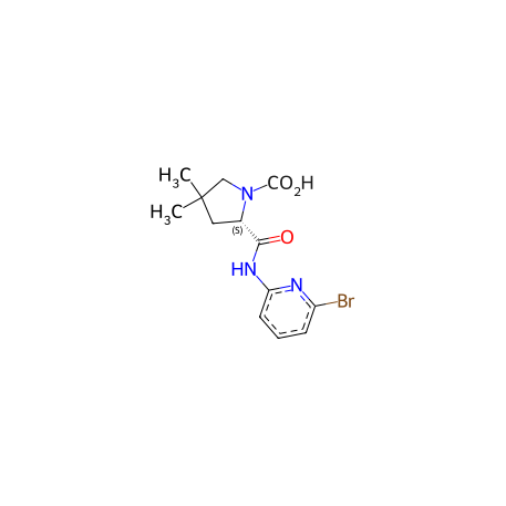 CC1(C)C[C@@H](C(=O)Nc2cccc(Br)n2)N(C(=O)O)C1